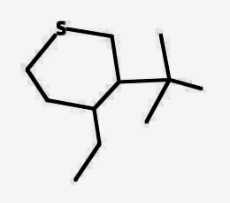 CCC1CCSCC1C(C)(C)C